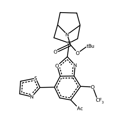 CC(=O)c1cc(-c2nccs2)c2oc(N3CC4CCC(C3)N4C(=O)OC(C)(C)C)nc2c1OC(F)(F)F